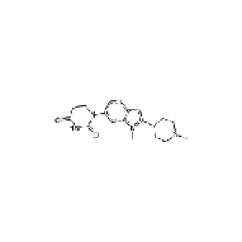 CN1CCC(c2cc3ccc(N4CCC(=O)NC4=O)cc3n2C)CC1